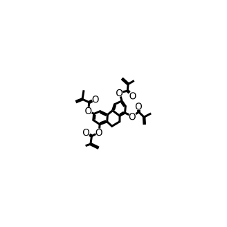 C=C(C)C(=O)Oc1cc(OC(=O)C(=C)C)c2c(c1)-c1cc(OC(=O)C(=C)C)cc(OC(=O)C(=C)C)c1CC2